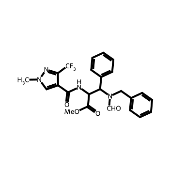 COC(=O)C(NC(=O)c1cn(C)nc1C(F)(F)F)C(c1ccccc1)N(C=O)Cc1ccccc1